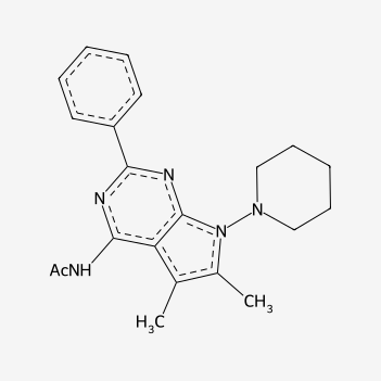 CC(=O)Nc1nc(-c2ccccc2)nc2c1c(C)c(C)n2N1CCCCC1